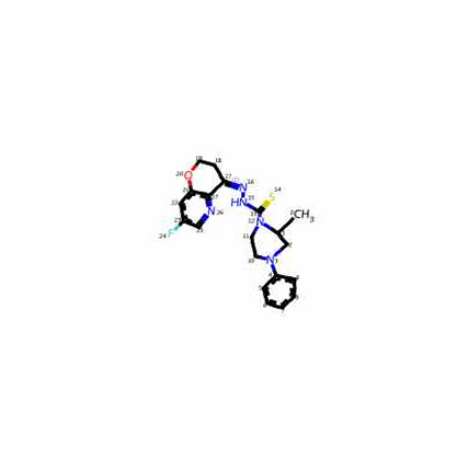 CC1CN(c2ccccc2)CCN1C(=S)N/N=C1/CCOc2cc(F)cnc21